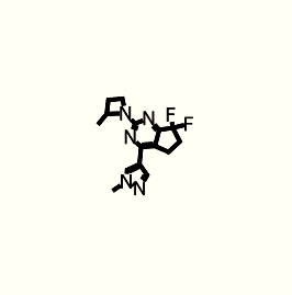 CC1CCN1c1nc(-c2cnn(C)c2)c2c(n1)C(F)(F)CC2